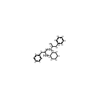 CC(Cc1ccccc1)N[C@@H]1CCCC[C@H]1NC(C)Cc1ccccc1